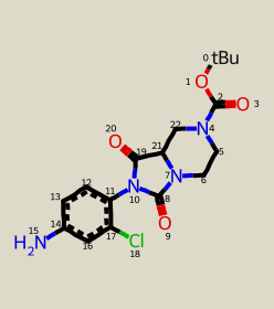 CC(C)(C)OC(=O)N1CCN2C(=O)N(c3ccc(N)cc3Cl)C(=O)C2C1